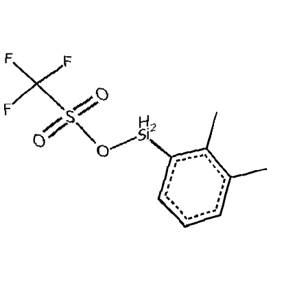 Cc1cccc([SiH2]OS(=O)(=O)C(F)(F)F)c1C